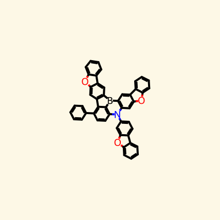 c1ccc(-c2ccc3c4c2-c2cc5oc6ccccc6c5cc2B4c2cc4c(cc2N3c2ccc3c(c2)oc2ccccc23)oc2ccccc24)cc1